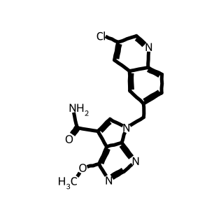 COc1ncnc2c1c(C(N)=O)cn2Cc1ccc2ncc(Cl)cc2c1